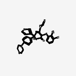 O=COC1=C(Sc2cccc(Cl)c2Cl)C(=O)NC(c2ccc(N3CCOCC3)cc2)(c2ccsc2)C1